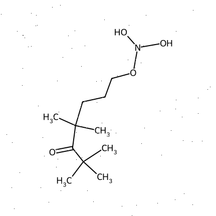 CC(C)(C)C(=O)C(C)(C)CCCON(O)O